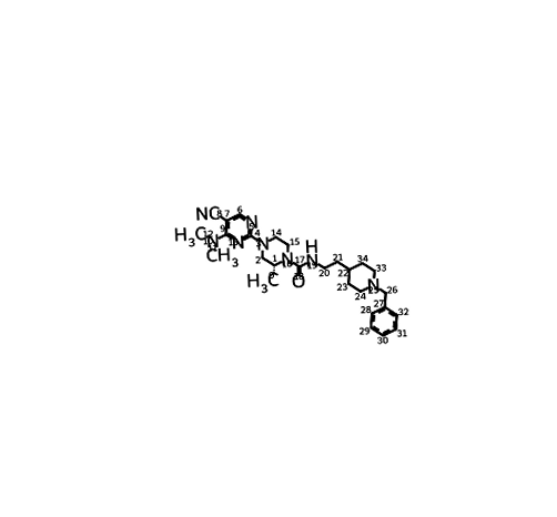 C[C@@H]1CN(c2ncc(C#N)c(N(C)C)n2)CCN1C(=O)NCCC1CCN(Cc2ccccc2)CC1